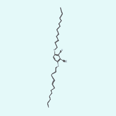 CCCCCCCCCCCCSc1ccc(SCCCCCCCCCCCC)c(C#N)c1C#N